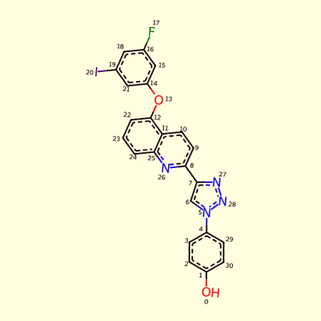 Oc1ccc(-n2cc(-c3ccc4c(Oc5cc(F)cc(I)c5)cccc4n3)nn2)cc1